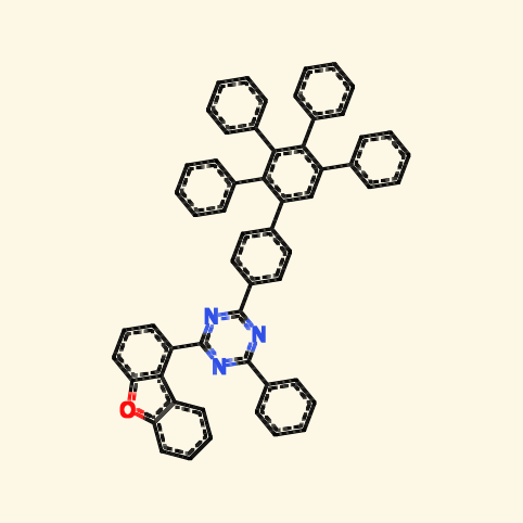 c1ccc(-c2nc(-c3ccc(-c4cc(-c5ccccc5)c(-c5ccccc5)c(-c5ccccc5)c4-c4ccccc4)cc3)nc(-c3cccc4oc5ccccc5c34)n2)cc1